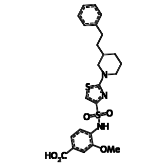 COc1cc(C(=O)O)ccc1NS(=O)(=O)c1csc(N2CCCC(CCc3ccccc3)C2)n1